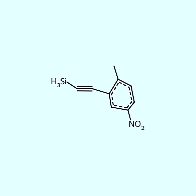 Cc1ccc([N+](=O)[O-])cc1C#C[SiH3]